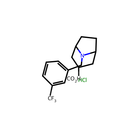 Cl.O=C(O)C1CC2CCC(C1)N2Cc1cccc(C(F)(F)F)c1